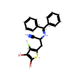 N#CC(Cc1sc(Br)c(Br)c1F)N=C(c1ccccc1)c1ccccc1